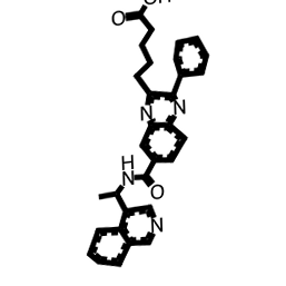 CC(NC(=O)c1ccc2nc(-c3ccccc3)c(CCCCC(=O)O)nc2c1)c1cncc2ccccc12